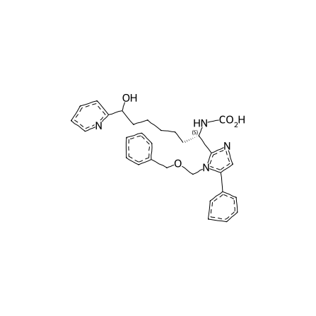 O=C(O)N[C@@H](CCCCCC(O)c1ccccn1)c1ncc(-c2ccccc2)n1COCc1ccccc1